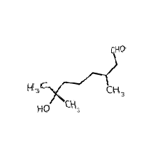 CC(C[C]=O)CCCC(C)(C)O